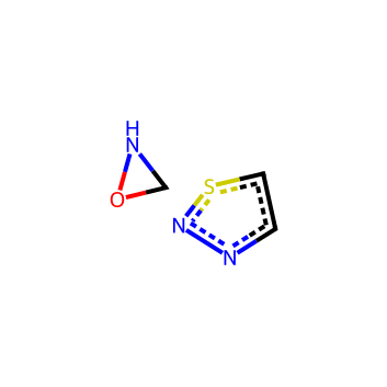 C1NO1.c1csnn1